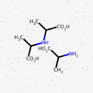 CC(N)C(=O)O.CC(NC(C)C(=O)O)C(=O)O